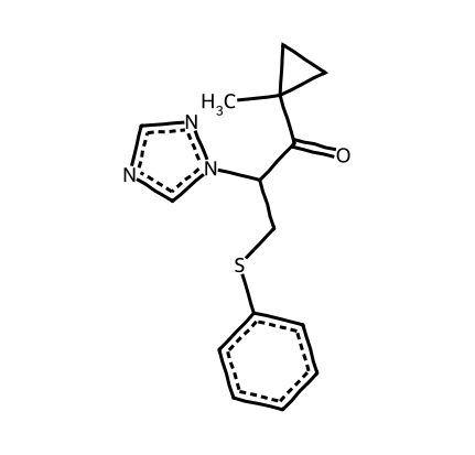 CC1(C(=O)C(CSc2ccccc2)n2cncn2)CC1